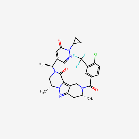 C[C@@H]1Cc2nn3c(c2CN1C(=O)c1ccc(Cl)c(C(F)(F)F)c1)C(=O)N([C@@H](C)c1cnn(C2CC2)c(=O)c1)C[C@H]3C